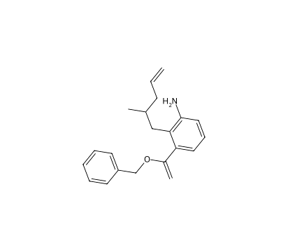 C=CCC(C)Cc1c(N)cccc1C(=C)OCc1ccccc1